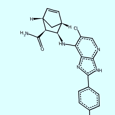 COc1ccc(-c2nc3c(N[C@H]4[C@@H](C(N)=O)[C@@H]5C=C[C@H]4C5)c(Cl)cnc3[nH]2)cc1